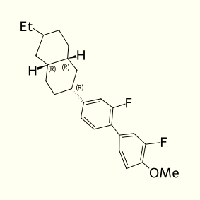 CCC1CC[C@@H]2C[C@H](c3ccc(-c4ccc(OC)c(F)c4)c(F)c3)CC[C@@H]2C1